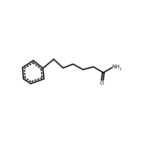 NC(=O)CCCCCc1ccccc1